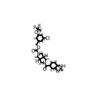 O=C(OCc1cc(Cl)cc(OC(F)(F)F)c1)N1C[C@@H]2CN(C(=O)c3ccc4[nH]nnc4c3)C[C@@H]2C1